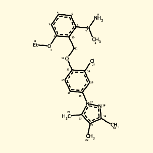 CCOc1cccc(N(C)N)c1COc1ccc(-n2nc(C)c(C)c2C)cc1Cl